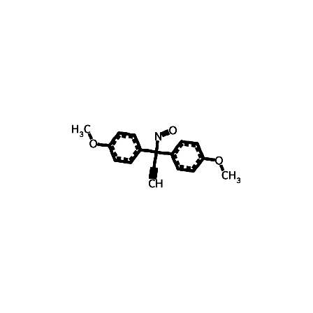 C#CC(N=O)(c1ccc(OC)cc1)c1ccc(OC)cc1